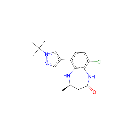 C[C@@H]1CC(=O)Nc2c(Cl)ccc(-c3cnn(C(C)(C)C)c3)c2N1